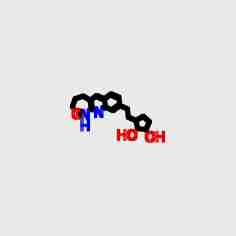 OC1CCC(CCc2ccc3cc4c(nc3c2)NOCCC4)C1O